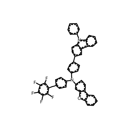 Fc1c(F)c(F)c(-c2ccc(N(c3ccc(-c4ccc5c(c4)c4ccccc4n5-c4ccccc4)cc3)c3ccc4c(c3)oc3ccccc34)cc2)c(F)c1F